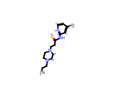 N#CCCN1CCN(CCC(=O)Nc2cc(Br)ccn2)CC1